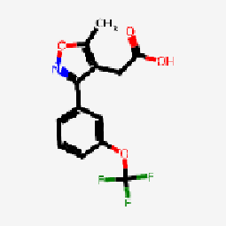 Cc1onc(-c2cccc(OC(F)(F)F)c2)c1CC(=O)O